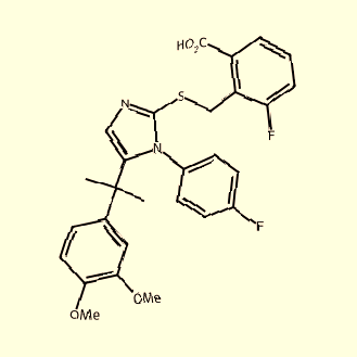 COc1ccc(C(C)(C)c2cnc(SCc3c(F)cccc3C(=O)O)n2-c2ccc(F)cc2)cc1OC